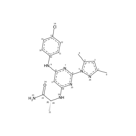 Cc1cc(C)n(-c2nc(Nc3ccc(Cl)cc3)cc(N[C@H](C)C(N)=O)n2)n1